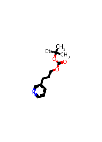 CCC(C)(C)OC(=O)OCCCc1cccnc1